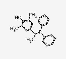 Cc1cc(C(C)P(c2ccccc2)c2ccccc2)cc(C)c1O